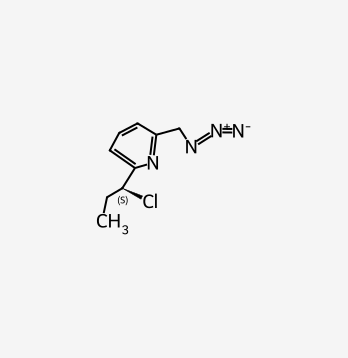 CC[C@H](Cl)c1cccc(CN=[N+]=[N-])n1